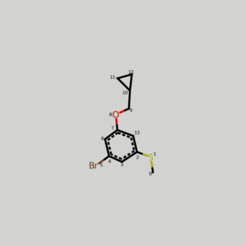 CSc1cc(Br)cc(OCC2CC2)c1